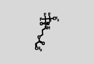 C=CC(=O)OCCNS(=O)(=O)C(F)(F)C(F)(F)C(F)(F)F